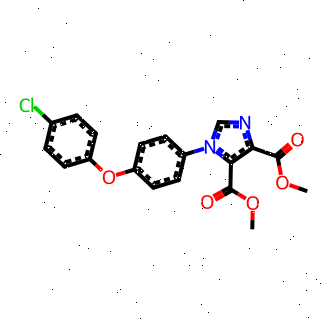 COC(=O)c1ncn(-c2ccc(Oc3ccc(Cl)cc3)cc2)c1C(=O)OC